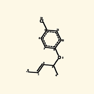 [CH2]C=CC(C)Oc1ccc(Cl)cc1